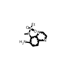 CCS(=O)(=O)N(C)c1c(N)ccc2nccnc12